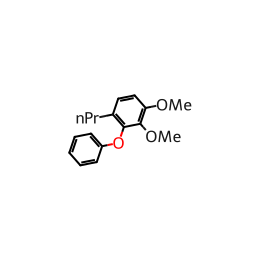 CCCc1ccc(OC)c(OC)c1Oc1ccccc1